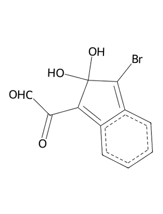 O=CC(=O)C1=c2ccccc2=C(Br)C1(O)O